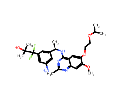 COc1cc2nc(C)nc(N[C@H](C)c3cc(N)cc(C(F)(F)C(C)(C)O)c3)c2cc1OCCOC(C)C